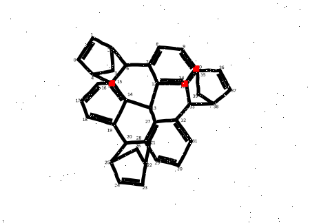 C1=CC2CC1CC2c1ccccc1C(c1ccccc1C1CC2C=CC1C2)c1ccccc1C1CC2C=CC1C2